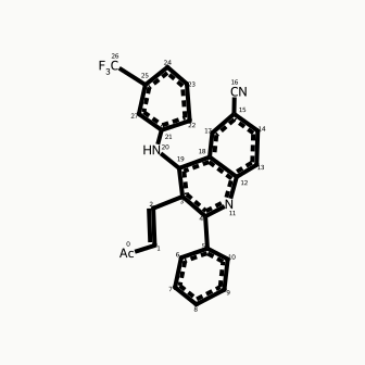 CC(=O)/C=C/c1c(-c2ccccc2)nc2ccc(C#N)cc2c1Nc1cccc(C(F)(F)F)c1